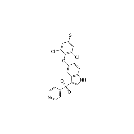 O=S(=O)(c1ccncc1)c1c[nH]c2ccc(Oc3c(Cl)cc([S])cc3Cl)cc12